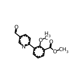 COC(=O)c1cccc(-c2ccc(C=O)cn2)c1OC